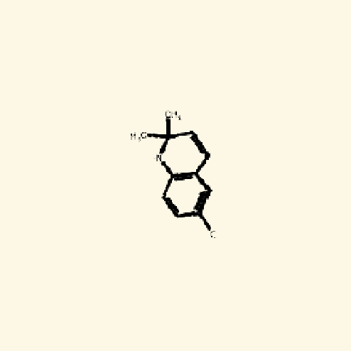 CC1(C)C=Cc2cc(Cl)ccc2[N]1